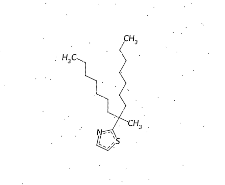 CCCCCCCC(C)(CCCCCCC)c1nccs1